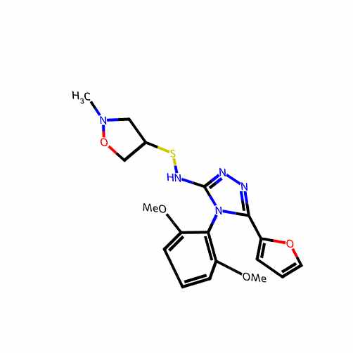 COc1cccc(OC)c1-n1c(NSC2CON(C)C2)nnc1-c1ccco1